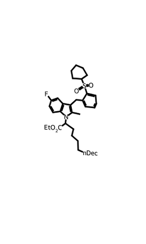 CCCCCCCCCCCCCCC(C(=O)OCC)n1c(C)c(Cc2ccccc2S(=O)(=O)C2CCCCC2)c2cc(F)ccc21